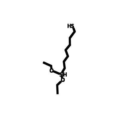 CCO[SiH](CCCCCCCS)OCC